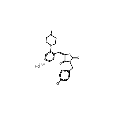 CN1CCN(c2ccccc2C=C2SC(=O)N(Cc3ccc(Cl)cc3)C2=O)CC1.Cl.O